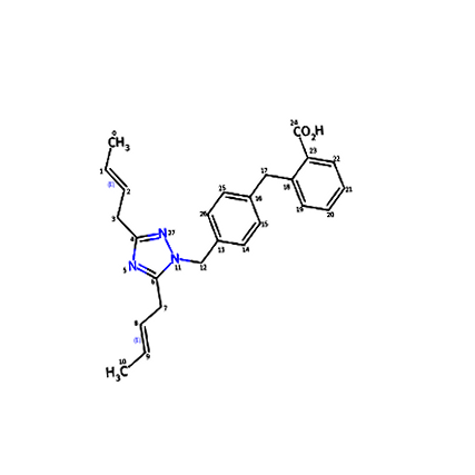 C/C=C/Cc1nc(C/C=C/C)n(Cc2ccc(Cc3ccccc3C(=O)O)cc2)n1